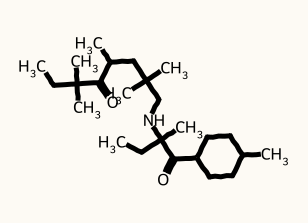 CCC(C)(C)C(=O)C(C)CC(C)(C)CNC(C)(CC)C(=O)C1CCC(C)CC1